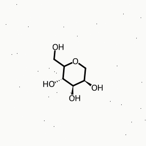 OCC1OC[C@@H](O)[C@@H](O)[C@@H]1O